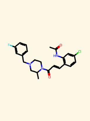 CC(=O)Nc1cc(Cl)ccc1C=CC(=O)N1CCN(Cc2cccc(F)c2)CC1C